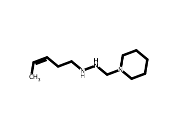 C/C=C\CCNNCN1CCCCC1